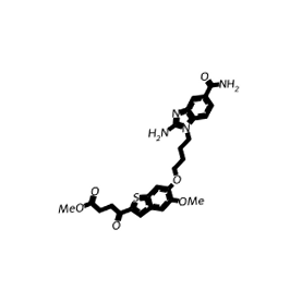 COC(=O)CCC(=O)c1cc2cc(OC)c(OCCCCn3c(N)nc4cc(C(N)=O)ccc43)cc2s1